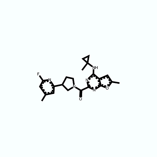 Cc1cc(F)nc(C2CCN(C(=O)c3nc(NC4(C)CC4)c4cc(C)oc4n3)C2)c1